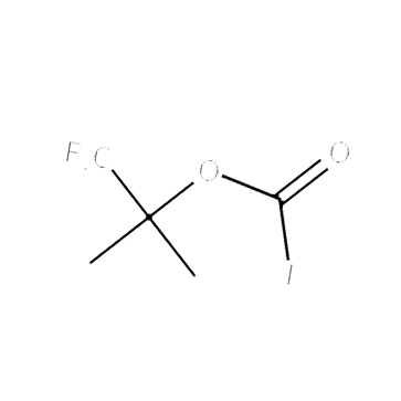 CC(C)(OC(=O)I)C(F)(F)F